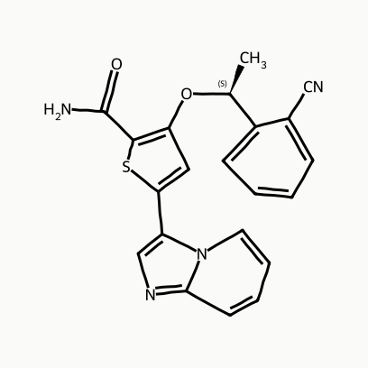 C[C@H](Oc1cc(-c2cnc3ccccn23)sc1C(N)=O)c1ccccc1C#N